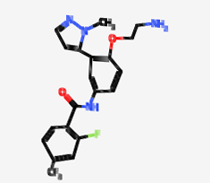 Cn1nccc1-c1cc(NC(=O)c2ccc(C(F)(F)F)cc2F)ccc1OCCN